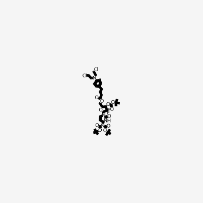 CC(C)(C)OC(=O)O[C@H]1C(COC(=O)CCCc2ccc(N(CCCl)CCCl)cc2)OC(N2C=CC(N(C(=O)OC(C)(C)C)C(=O)OC(C)(C)C)NC2=O)C1(F)F